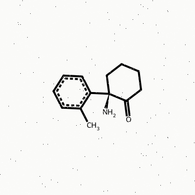 Cc1ccccc1[C@]1(N)CCCCC1=O